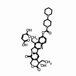 CCc1c2c(nc3ccc(OC(=O)N4CCC(N5CCCCC5)CC4)cc13)-c1cc3c(c(=O)n1C2)COC(=O)[C@]3(O)CC.O=C(O)/C=C\C(=O)O